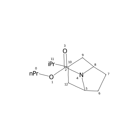 CCCOC(=O)N1C2CCC1CC(C(C)C)C2